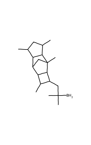 BC(C)(C)CC1C(C)C2C3CC(C)(C4C(C)CC(C)C34)C12